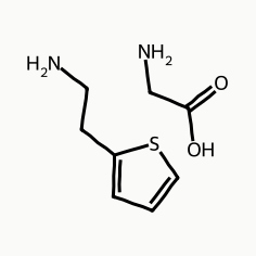 NCC(=O)O.NCCc1cccs1